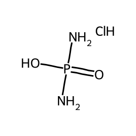 Cl.NP(N)(=O)O